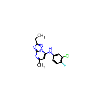 CCc1nc2nc(C)cc(Nc3ccc(F)c(Cl)c3)n2n1